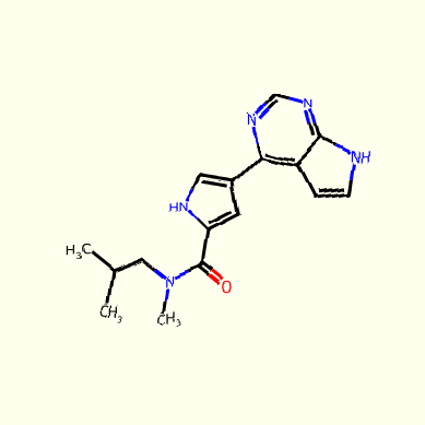 CC(C)CN(C)C(=O)c1cc(-c2ncnc3[nH]ccc23)c[nH]1